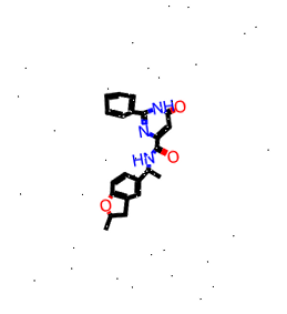 CC1Cc2cc(C(C)NC(=O)c3cc(=O)[nH]c(-c4ccccc4)n3)ccc2O1